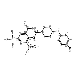 O=c1nc(N2CCC(Oc3ccc(F)cn3)CC2)sc2c([N+](=O)[O-])cc(C(F)(F)F)cc12